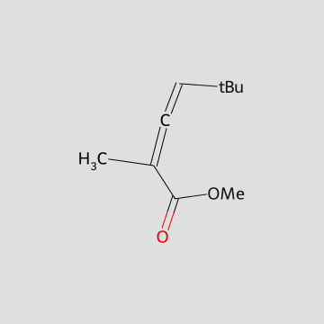 COC(=O)C(C)=C=CC(C)(C)C